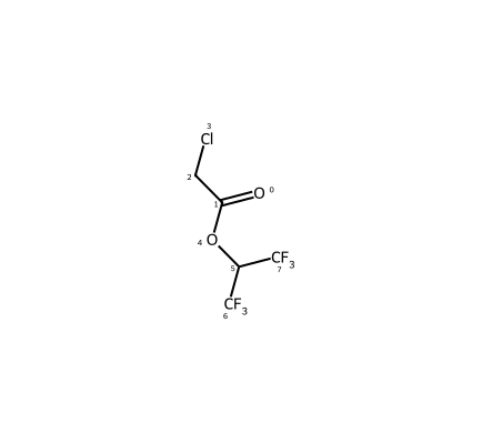 O=C(CCl)OC(C(F)(F)F)C(F)(F)F